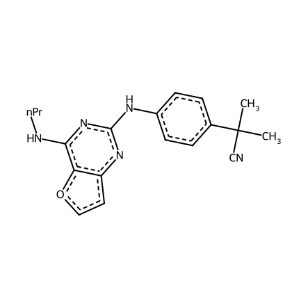 CCCNc1nc(Nc2ccc(C(C)(C)C#N)cc2)nc2ccoc12